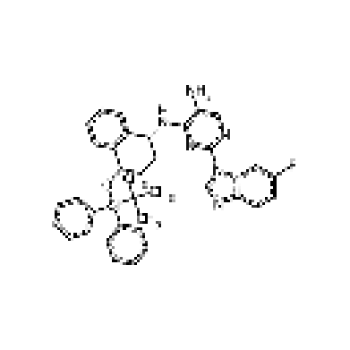 CC(C)(C)[Si](OC1CC[C@@H](Nc2nc(-n3cnc4ccc(F)cc43)ncc2N)c2ccccc21)(c1ccccc1)c1ccccc1